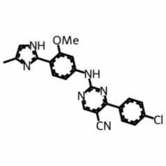 COc1cc(Nc2ncc(C#N)c(-c3ccc(Cl)cc3)n2)ccc1-c1nc(C)c[nH]1